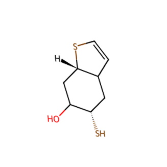 OC1C[C@@H]2SC=CC2C[C@@H]1S